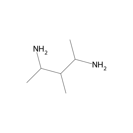 CC(N)C(C)C(C)N